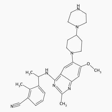 COc1cc2nc(C)nc(NC(C)c3cccc(C#N)c3C)c2cc1N1CCC(N2CCNCC2)CC1